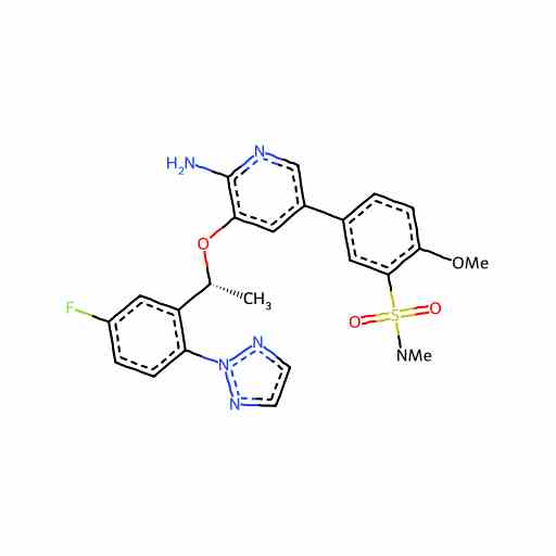 CNS(=O)(=O)c1cc(-c2cnc(N)c(O[C@H](C)c3cc(F)ccc3-n3nccn3)c2)ccc1OC